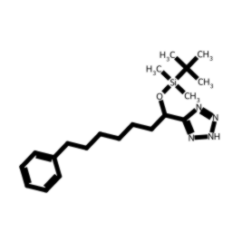 CC(C)(C)[Si](C)(C)OC(CCCCCCc1ccccc1)c1nn[nH]n1